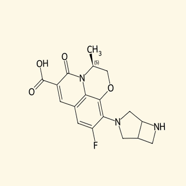 C[C@H]1COc2c(N3CC4CNC4C3)c(F)cc3cc(C(=O)O)c(=O)n1c23